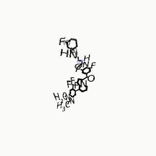 Cc1nc2cc(-c3cccn4c(C(=O)c5cc(F)c(NC(=O)/C=C/CN[C@H]6CCC[C@H](F)C6)c(F)c5)ccc34)c(C(F)(F)F)cc2n1C